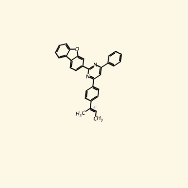 C/C=C(\C)c1ccc(-c2cc(-c3ccccc3)nc(-c3ccc4c(c3)oc3ccccc34)n2)cc1